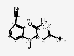 CN(c1cccc(C#N)c1)[C@@H](CC(N)=O)C(N)=O